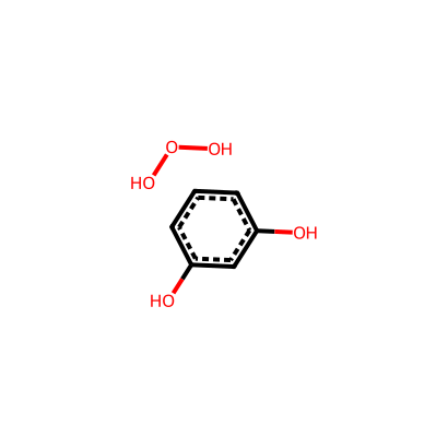 OOO.Oc1cccc(O)c1